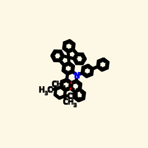 CC1(C)CCC(C)(C)c2cc(-c3cc4c(cc3N(c3ccc(-c5ccccc5)cc3)c3ccc5ccccc5c3)C3(c5ccccc5-c5ccccc53)c3ccccc3-4)ccc21